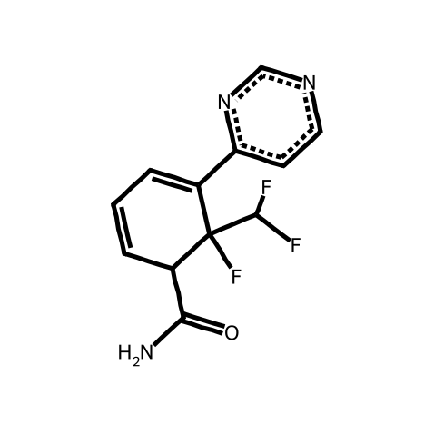 NC(=O)C1C=CC=C(c2ccncn2)C1(F)C(F)F